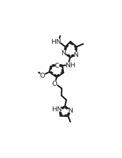 CNc1cc(C)nc(Nc2ccc(OC)c(OCCCc3nc(C)c[nH]3)c2)n1